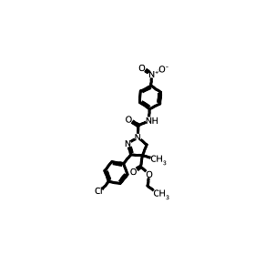 CCOC(=O)C1(C)CN(C(=O)Nc2ccc([N+](=O)[O-])cc2)N=C1c1ccc(Cl)cc1